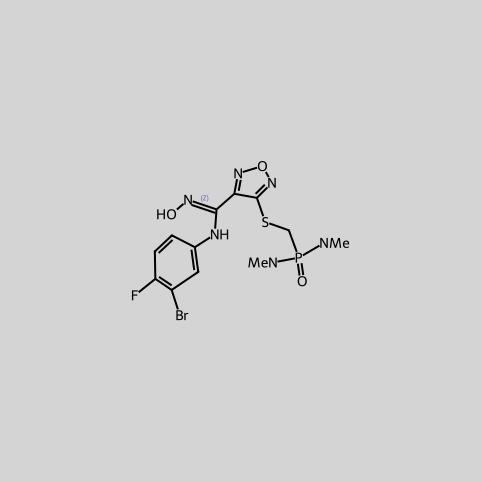 CNP(=O)(CSc1nonc1/C(=N/O)Nc1ccc(F)c(Br)c1)NC